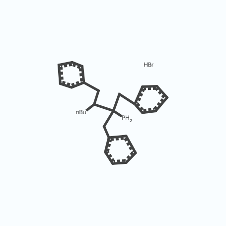 Br.CCCCC(Cc1ccccc1)C(P)(Cc1ccccc1)Cc1ccccc1